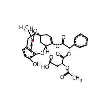 CC(=O)O[C@@H](CC(=O)O)C(=O)O[C@H](C(=O)OC1=CC[C@]2(O)C[C@H]1Oc1c(O)ccc3c1CCCN(C)[C@@H]2C3)c1ccccc1